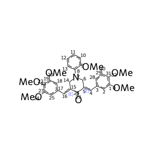 COc1cc(/C=C2\CN(c3ccccc3)C/C(=C\c3cc(OC)c(OC)c(OC)c3)C2=O)cc(OC)c1OC